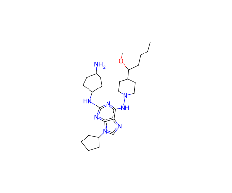 CCCCC(OC)C1CCN(Nc2nc(NC3CCC(N)CC3)nc3c2ncn3C2CCCC2)CC1